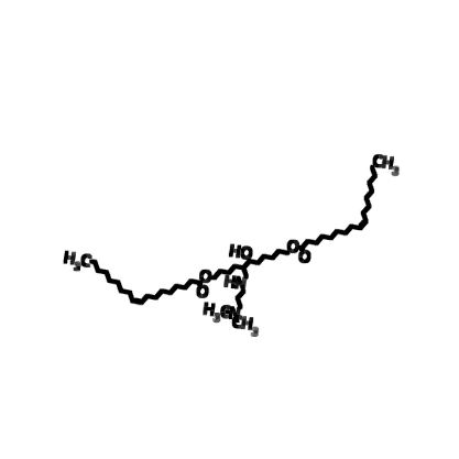 CCCCCCCC/C=C\CCCCCCCC(=O)OCCCCCC(O)C(CCCCOC(=O)CCCCCCC/C=C\CCCCCCCC)CNCCCN(C)C